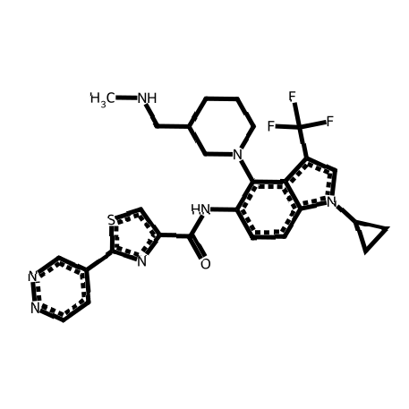 CNCC1CCCN(c2c(NC(=O)c3csc(-c4ccnnc4)n3)ccc3c2c(C(F)(F)F)cn3C2CC2)C1